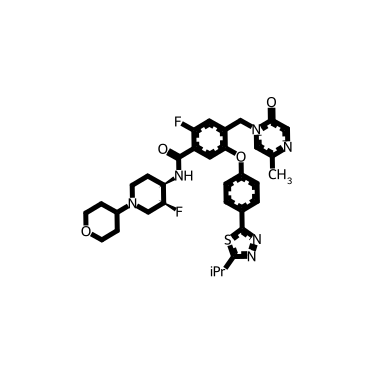 Cc1cn(Cc2cc(F)c(C(=O)N[C@@H]3CCN(C4CCOCC4)C[C@@H]3F)cc2Oc2ccc(-c3nnc(C(C)C)s3)cc2)c(=O)cn1